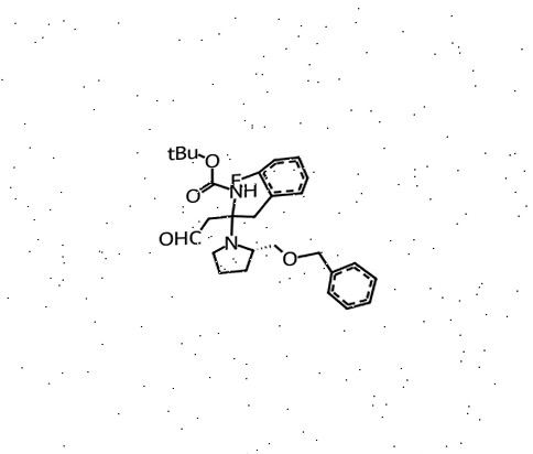 CC(C)(C)OC(=O)NC(CC=O)(Cc1ccccc1F)N1CCC[C@H]1COCc1ccccc1